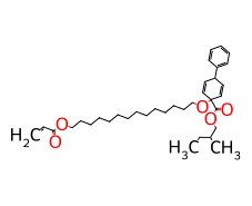 C=CC(=O)OCCCCCCCCCCCCCCOC1(C(=O)OCC(C)CC)C=CC(c2ccccc2)C=C1